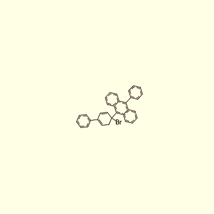 BrC1(c2c3ccccc3c(-c3ccccc3)c3ccccc23)C=CC(c2ccccc2)=CC1